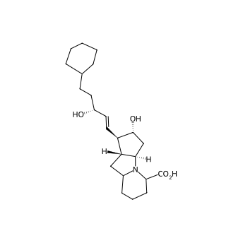 O=C(O)C1CCCC2C[C@@H]3[C@@H](/C=C/[C@H](O)CCC4CCCCC4)[C@H](O)C[C@H]3N21